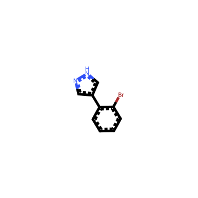 Brc1ccccc1-c1cn[nH]c1